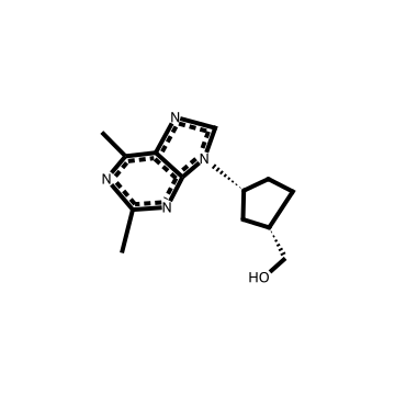 Cc1nc(C)c2ncn([C@@H]3CC[C@H](CO)C3)c2n1